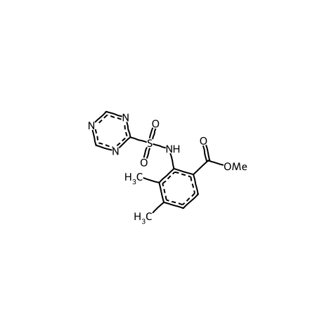 COC(=O)c1ccc(C)c(C)c1NS(=O)(=O)c1ncncn1